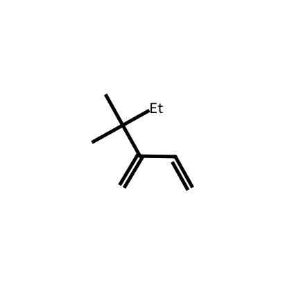 C=CC(=C)C(C)(C)CC